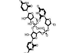 CC[C@H]1OC(n2ccc(=O)[nH]c2=O)C[C@@H]1OP(=O)(O)OC[C@H]1O[C@@H](n2ccc(N)nc2=O)[C@H](O)[C@@H]1OP(=O)(O)OC[C@H]1O[C@@H](C2C=CC(=O)NC2=O)[C@H](O)[C@@H]1O